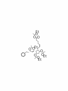 CCOC(C)OC(=O)CCC/C=C\C[C@@H]1[C@@H](/C=C/[C@H](CCc2ccccc2)OC(C)OCC)[C@H](OC(C)OCC)C[C@@H]1OC(C)OCC